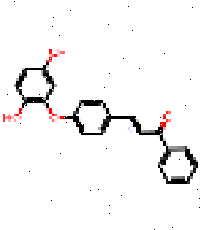 O=C(/C=C/c1ccc(Oc2cc(O)ccc2O)cc1)c1ccccc1